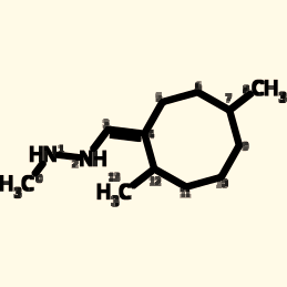 CNN/C=C1/CCC(C)CCCC1C